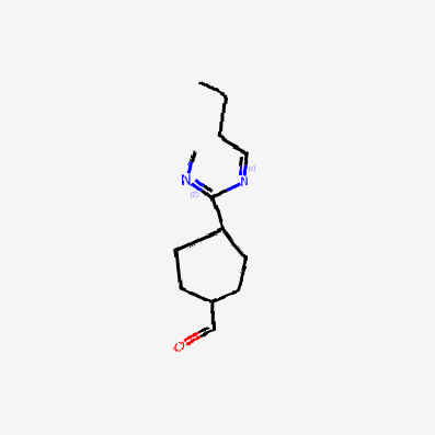 CCC/C=N\C(=N/C)C1CCC(C=O)CC1